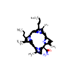 CC1=Cc2cc3[nH]c(cc4nc(cc5[nH]c(cc5C)c(C(N)=O)c1n2)C(C)=C4CCC(=O)O)c(CCC(=O)O)c3C